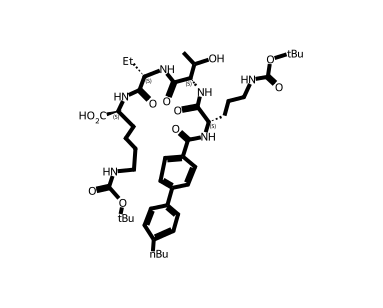 CCCCc1ccc(-c2ccc(C(=O)N[C@@H](CCCNC(=O)OC(C)(C)C)C(=O)N[C@H](C(=O)N[C@@H](CC)C(=O)N[C@@H](CCCCNC(=O)OC(C)(C)C)C(=O)O)C(C)O)cc2)cc1